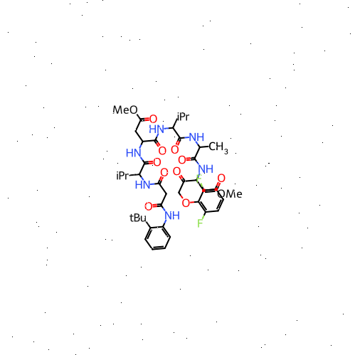 COC(=O)CC(NC(=O)C(C)NC(=O)C(NC(=O)C(CC(=O)OC)NC(=O)C(NC(=O)CC(=O)Nc1ccccc1C(C)(C)C)C(C)C)C(C)C)C(=O)COc1c(F)cccc1F